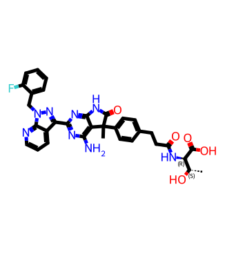 C[C@H](O)[C@@H](NC(=O)CCc1ccc(C2(C)C(=O)Nc3nc(-c4nn(Cc5ccccc5F)c5ncccc45)nc(N)c32)cc1)C(=O)O